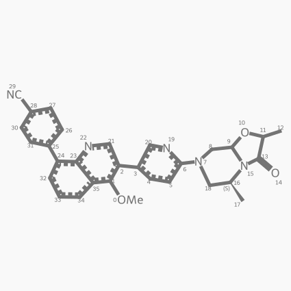 COc1c(-c2ccc(N3CC4OC(C)C(=O)N4[C@@H](C)C3)nc2)cnc2c(-c3ccc(C#N)cc3)cccc12